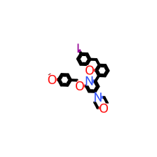 COc1ccc(COc2cc(N3CCOCC3)cc(-c3cccc4c3Oc3ccc(I)cc3C4)n2)cc1